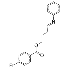 CCc1ccc(C(=O)OCCCC=Nc2ccccc2)cc1